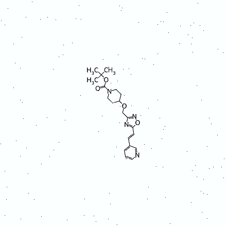 CC(C)(C)OC(=O)N1CCC(OCc2noc(C=Cc3cccnc3)n2)CC1